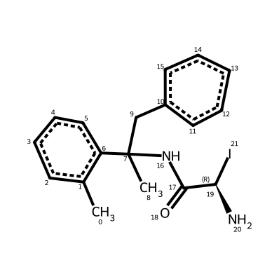 Cc1ccccc1C(C)(Cc1ccccc1)NC(=O)[C@H](N)I